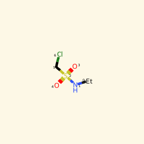 CCNS(=O)(=O)CCl